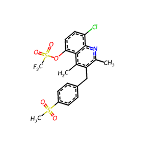 Cc1nc2c(Cl)ccc(OS(=O)(=O)C(F)(F)F)c2c(C)c1Cc1ccc(S(C)(=O)=O)cc1